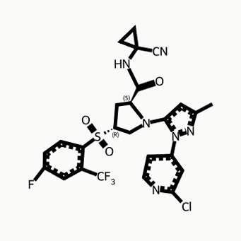 Cc1cc(N2C[C@H](S(=O)(=O)c3ccc(F)cc3C(F)(F)F)C[C@H]2C(=O)NC2(C#N)CC2)n(-c2ccnc(Cl)c2)n1